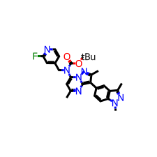 Cc1cc(N(Cc2ccnc(F)c2)C(=O)OC(C)(C)C)n2nc(C)c(-c3ccc4c(c3)c(C)nn4C)c2n1